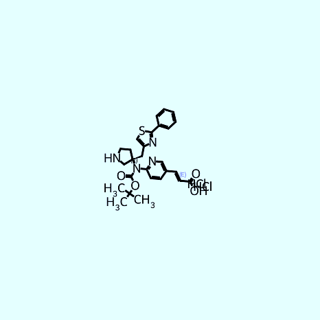 CC(C)(C)OC(=O)N(c1ccc(/C=C/C(=O)O)cn1)[C@@]1(Cc2csc(-c3ccccc3)n2)CCNC1.Cl.Cl